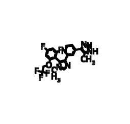 Cc1[nH]nnc1-c1ccnc(-c2ncn(C)c2-c2c(F)cc(F)cc2OCC(F)(F)F)c1